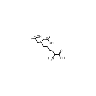 C[C@@H](O)CN(CCCCC(N)C(=O)O)C[C@@H](C)O